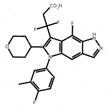 Cc1cc(-n2c(C3CCOCC3)c(C(F)(F)CC(=O)O)c3c(F)c4[nH]ncc4cc32)ccc1F